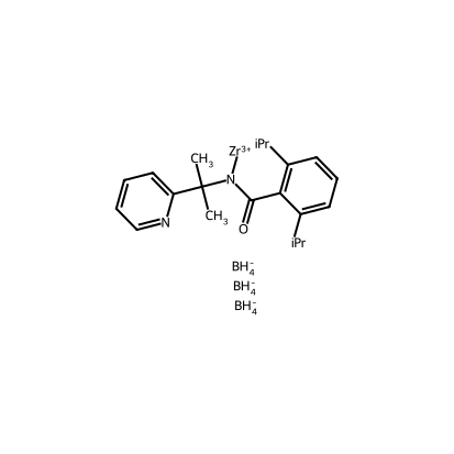 CC(C)c1cccc(C(C)C)c1C(=O)[N]([Zr+3])C(C)(C)c1ccccn1.[BH4-].[BH4-].[BH4-]